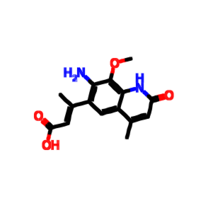 COc1c(N)c(C(C)=CC(=O)O)cc2c(C)cc(=O)[nH]c12